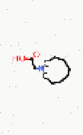 O=C(O)CN1CCCCCCCC1